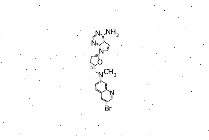 CN(C[C@@H]1CC[C@H](n2ccc3c(N)ncnc32)O1)c1ccc2cc(Br)cnc2c1